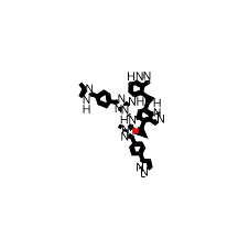 Cc1c[nH]c(-c2ccc(-c3nc(Nc4ccc5[nH]ncc5c4C4CC4c4cc(Nc5nc(-c6ccc(-c7ccn(C)n7)cc6)nn5C)c(C5CC5)c5cn[nH]c45)n(C)n3)cc2)n1